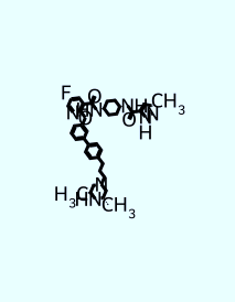 Cc1cc(C(=O)N[C@H]2CC[C@@H](NC(=O)c3cc(F)cnc3Oc3cccc(-c4ccc(CCCN5C[C@@H](C)N[C@@H](C)C5)cc4)c3)CC2)[nH]n1